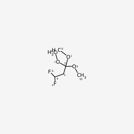 COC(CC(F)F)(OC)OC